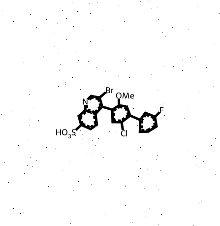 COc1cc(-c2cccc(F)c2)c(Cl)cc1-c1c(Br)cnc2cc(S(=O)(=O)O)ccc12